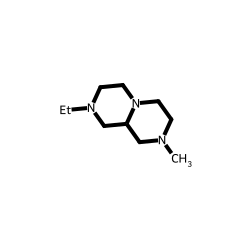 CCN1CCN2CCN(C)CC2C1